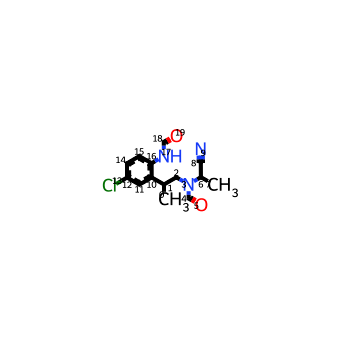 CC(CN(C=O)C(C)C#N)c1cc(Cl)ccc1NC=O